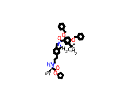 C=C(C)c1cc(C(=O)N2Cc3ccc(CCCN[C@H](CC(C)C)C(=O)OC4CCCC4)cc3C2)c(OCc2ccccc2)cc1OCc1ccccc1